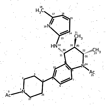 CC(=O)N1CCC(c2ccc3c(c2)[C@H](Nc2cccc(C)n2)[C@@H](C)[C@H](C)N3C(C)=O)CC1